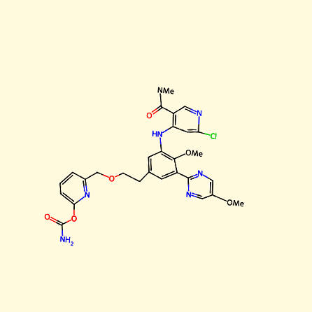 CNC(=O)c1cnc(Cl)cc1Nc1cc(CCOCc2cccc(OC(N)=O)n2)cc(-c2ncc(OC)cn2)c1OC